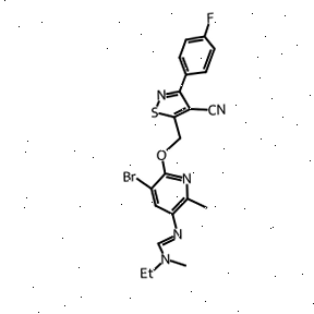 CCN(C)/C=N/c1cc(Br)c(OCc2snc(-c3ccc(F)cc3)c2C#N)nc1C